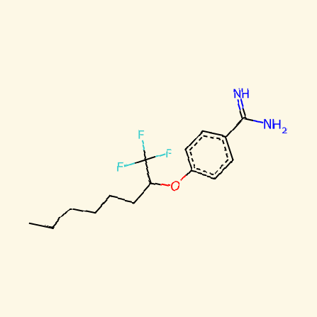 CCCCCCC(Oc1ccc(C(=N)N)cc1)C(F)(F)F